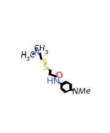 CNc1ccc(NC(=O)CCSSCCN(C)C)cc1